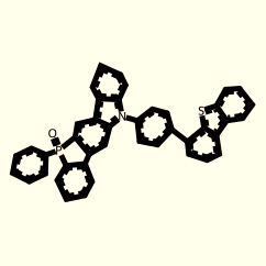 O=P1(c2ccccc2)c2ccccc2-c2cc3c(cc21)c1ccccc1n3-c1ccc(-c2cccc3c2sc2ccccc23)cc1